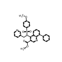 COc1ccc(S(=O)(=O)N(Cc2cccnc2)c2c(C(=O)ON)cnc3c(-c4ccccc4)cccc23)cc1